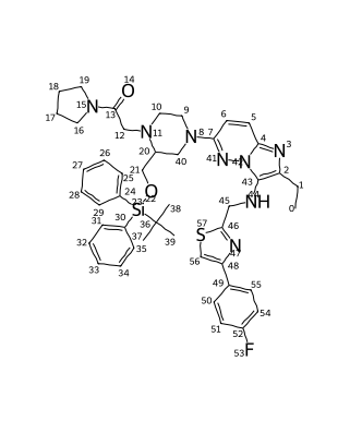 CCc1nc2ccc(N3CCN(CC(=O)N4CCCC4)C(CO[Si](c4ccccc4)(c4ccccc4)C(C)(C)C)C3)nn2c1NCc1nc(-c2ccc(F)cc2)cs1